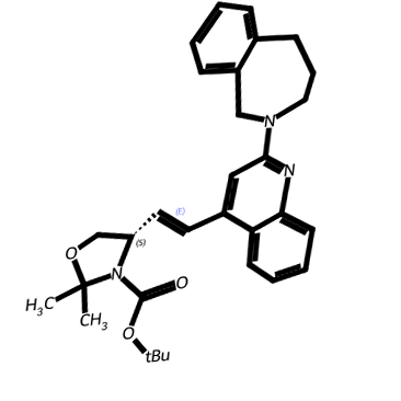 CC(C)(C)OC(=O)N1[C@@H](/C=C/c2cc(N3CCCc4ccccc4C3)nc3ccccc23)COC1(C)C